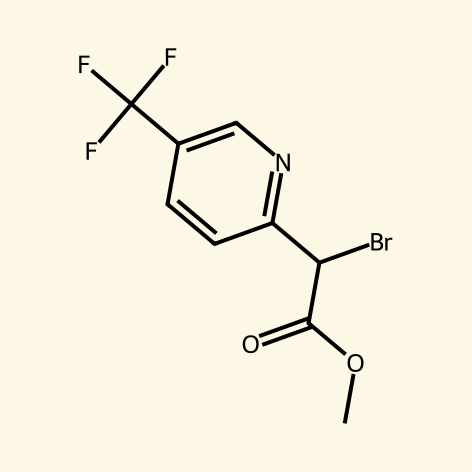 COC(=O)C(Br)c1ccc(C(F)(F)F)cn1